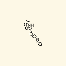 C=C(C)C(=O)NC(=O)OCCOc1ccc(N=Nc2ccccc2)cc1